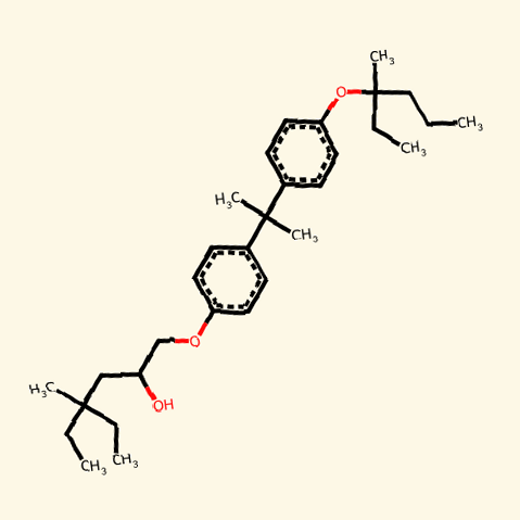 CCCC(C)(CC)Oc1ccc(C(C)(C)c2ccc(OCC(O)CC(C)(CC)CC)cc2)cc1